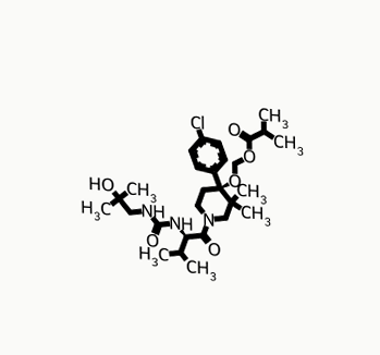 CC(C)C(=O)OCO[C@]1(c2ccc(Cl)cc2)CCN(C(=O)[C@H](NC(=O)NCC(C)(C)O)C(C)C)CC1(C)C